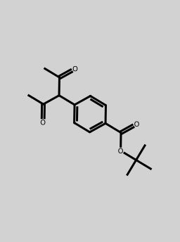 CC(=O)C(C(C)=O)c1ccc(C(=O)OC(C)(C)C)cc1